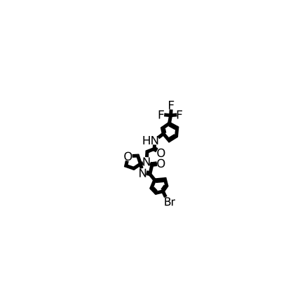 O=C(CN1C(=O)C(c2ccc(Br)cc2)=NC12CCOC2)Nc1cccc(C(F)(F)F)c1